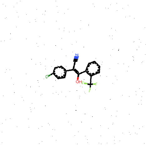 N#CC(=C(O)c1ccccc1C(F)(F)F)c1ccc(Cl)cc1